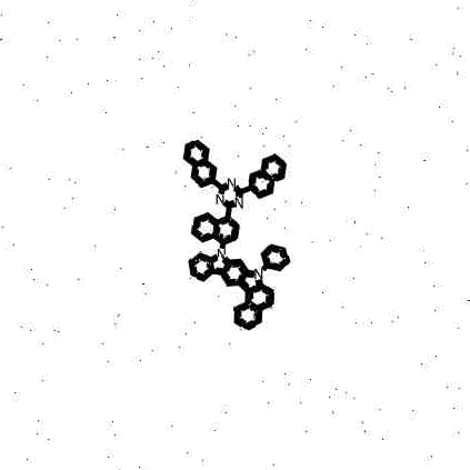 c1ccc(-n2c3cc4c(cc3c3c5ccccc5ccc32)c2ccccc2n4-c2ccc(-c3nc(-c4ccc5ccccc5c4)nc(-c4ccc5ccccc5c4)n3)c3ccccc23)cc1